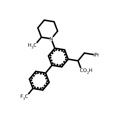 CC(C)CC(C(=O)O)c1cc(-c2ccc(C(F)(F)F)cc2)cc(N2CCCCC2C)c1